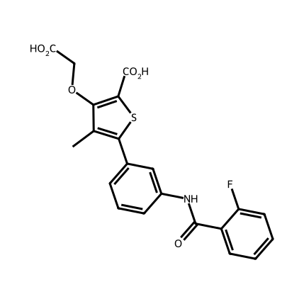 Cc1c(-c2cccc(NC(=O)c3ccccc3F)c2)sc(C(=O)O)c1OCC(=O)O